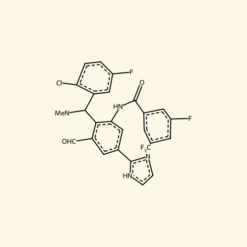 CNC(c1cc(F)ccc1Cl)c1c(C=O)cc(-c2ncc[nH]2)cc1NC(=O)c1cc(F)cc(C(F)(F)F)c1